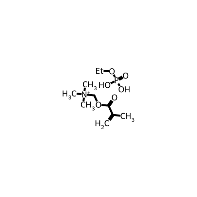 C=C(C)C(=O)OC[N+](C)(C)C.CCOP(=O)(O)O